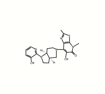 Cc1nc2c(N3CC[C@H]4[C@H](CCN4c4ncccc4C#N)C3)c(C#N)c(=O)n(C)c2s1